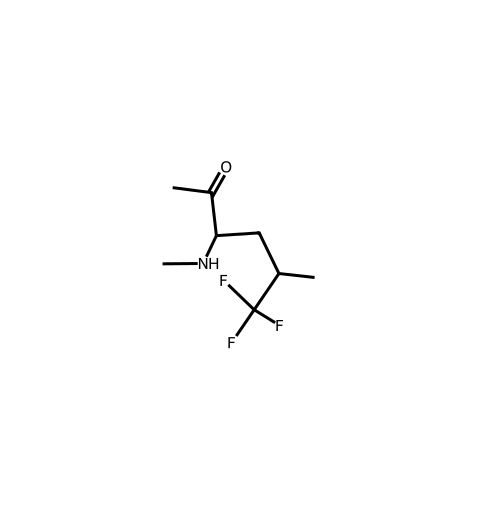 CNC(CC(C)C(F)(F)F)C(C)=O